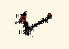 CCCC1O[C@@H]2C[C@H]3[C@@H]4CCC5=CC(=O)C=C[C@]5(C)[C@H]4[C@@H](O)C[C@]3(C)[C@]2(C(=O)COc2ccc(NC(=O)[C@H](CCCNC(N)O)NC(=O)[C@@H](NC(=O)CCOCCOCCOCCOCCNC(=O)OCC3C4CCC#CCCC43)C(C)C)cc2)O1